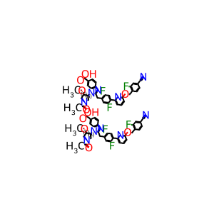 CO[C@H]1CN(C(C)=O)C[C@@H]1n1c(Cc2cc(F)c(-c3cccc(OCc4ccc(C#N)cc4F)n3)cc2F)nc2ccc(C(=O)O)cc21.CO[C@H]1CN(C(C)=O)C[C@@H]1n1c(Cc2cc(F)c(-c3cccc(OCc4ccc(C#N)cc4F)n3)cc2F)nc2ccc(C(=O)O)cc21